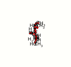 COc1ccc(CN2CCN(C3CC4(CCN(c5cc(Oc6cnc7[nH]ccc7c6)c(C(=O)NS(=O)(=O)c6cc(N)c(NC[C@H]7CC[C@](C)(O)CC7)c7c6OCO7)cc5F)CC4)C3)[C@H](c3ccccc3C(C)C)C2)cc1